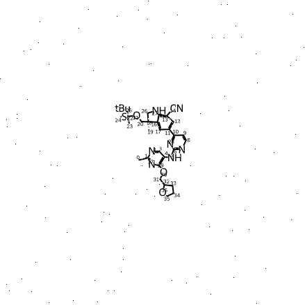 Cc1ncc(Nc2nccc(-c3cc(C#N)c4c(c3)[C@@](C)(CO[Si](C)(C)C(C)(C)C)CN4)n2)c(OCC2CCCO2)n1